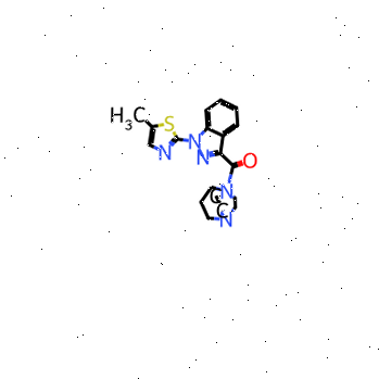 Cc1cnc(-n2nc(C(=O)N3CCN4CCC3CC4)c3ccccc32)s1